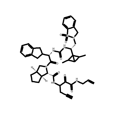 C#CCC(NC(=O)[C@@H]1[C@H]2CCC[C@H]2CN1C(=O)[C@@H](NC(=O)N[C@H](CN1Cc2ccccc2S1(=O)=O)C12C(C)C1C2C)C1Cc2ccccc2C1)C(=O)C(=O)NCC=C